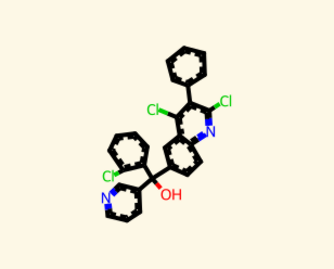 OC(c1cccnc1)(c1ccc2nc(Cl)c(-c3ccccc3)c(Cl)c2c1)c1ccccc1Cl